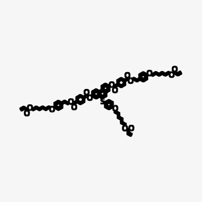 C=CC(=O)OCCCCCCOc1ccc(CCOC(=O)C2CCC(C(=O)Oc3ccc4c(c3)cc(Sc3ccc(OCCCCCCOC(=O)C=C)cc3)c3cc(OC(=O)C5CCC(C(=O)OCCc6ccc(OCCCCCCOC(=O)C=C)cc6)CC5)ccc34)CC2)cc1